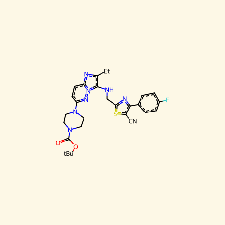 CCc1nc2ccc(N3CCN(C(=O)OC(C)(C)C)CC3)nn2c1NCc1nc(-c2ccc(F)cc2)c(C#N)s1